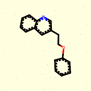 c1ccc(OCCc2cnc3ccccc3c2)cc1